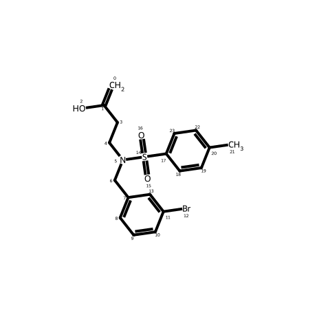 C=C(O)CCN(Cc1cccc(Br)c1)S(=O)(=O)c1ccc(C)cc1